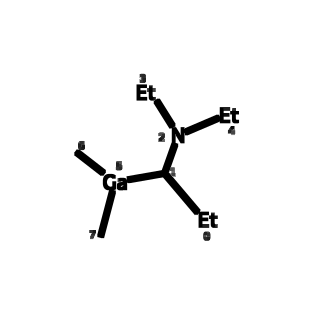 CC[CH](N(CC)CC)[Ga]([CH3])[CH3]